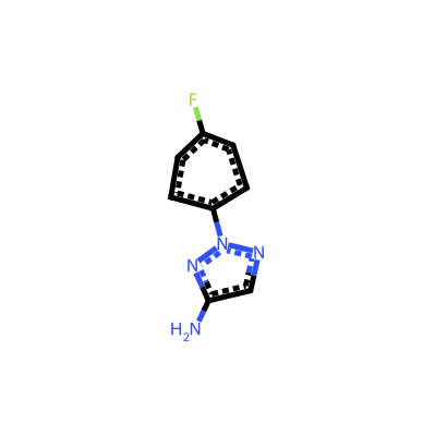 Nc1cnn(-c2ccc(F)cc2)n1